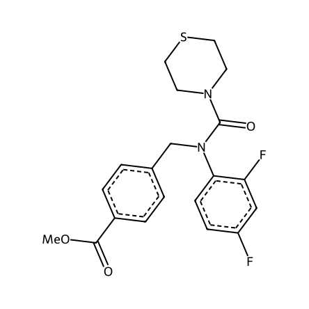 COC(=O)c1ccc(CN(C(=O)N2CCSCC2)c2ccc(F)cc2F)cc1